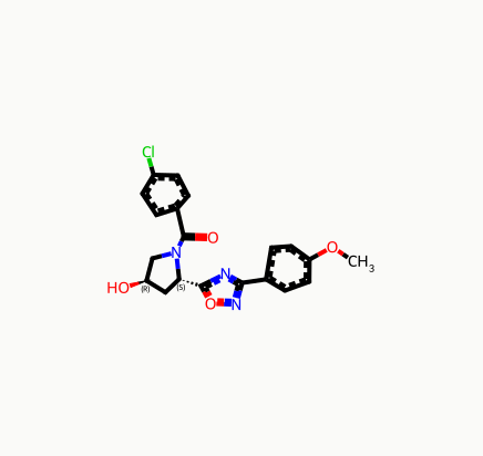 COc1ccc(-c2noc([C@@H]3C[C@@H](O)CN3C(=O)c3ccc(Cl)cc3)n2)cc1